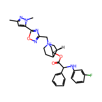 Cc1cc(-c2nc(C[N+]34CCC(CC3)[C@@H](OC(=O)C(Nc3cccc(F)c3)c3ccccc3)C4)no2)n(C)n1